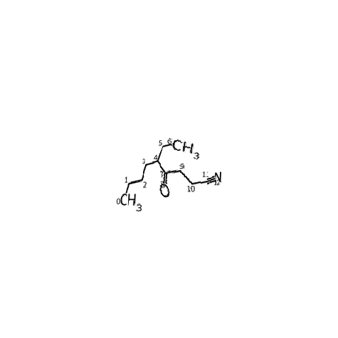 CCCCC(CC)C(=O)CCC#N